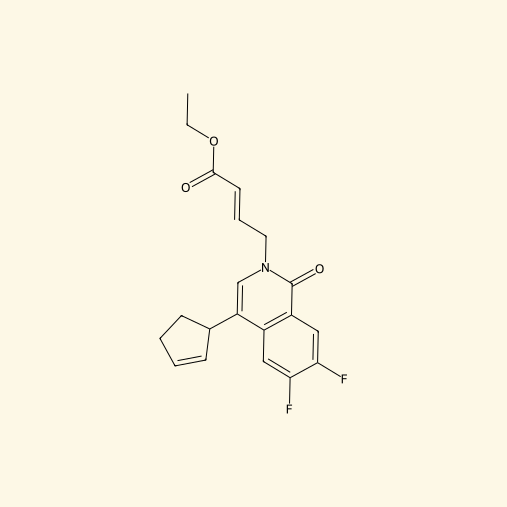 CCOC(=O)/C=C/Cn1cc(C2C=CCC2)c2cc(F)c(F)cc2c1=O